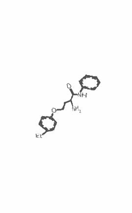 CCc1ccc(OCCC(N)C(=O)Nc2ccccc2)cc1